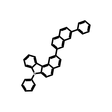 c1ccc(-c2ccc3ccc(-c4ccc5ccc6c(c5c4)c4ccccc4n6-c4ccccc4)cc3c2)cc1